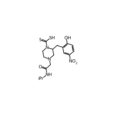 CC(C)NC(=O)CN1CCN(C(=S)S)C(Cc2cc([N+](=O)[O-])ccc2O)C1